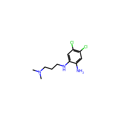 CN(C)CCCNc1cc(Cl)c(Cl)cc1N